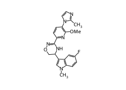 COc1nc(C2=NOCC(c3cn(C)c4ccc(F)cc34)N2)ccc1-n1ccnc1C